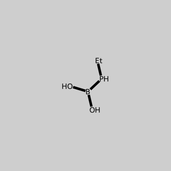 CCPB(O)O